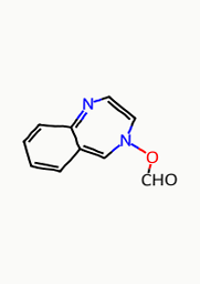 O=CON1C=CN=c2ccccc2=C1